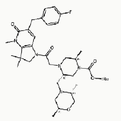 C[C@@H]1CO[C@@H](C)CN1C[C@H]1CN(C(=O)OC(C)(C)C)[C@H](C)CN1CC(=O)N1CC(C)(C)c2c1cc(Cc1ccc(F)cc1)c(=O)n2C